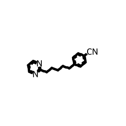 N#Cc1ccc(CCCCCc2ncccn2)cc1